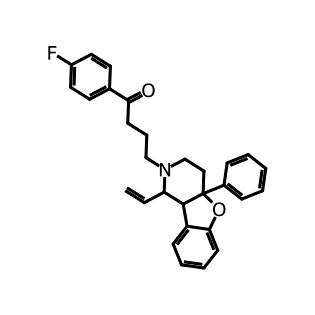 C=CC1C2c3ccccc3OC2(c2ccccc2)CCN1CCCC(=O)c1ccc(F)cc1